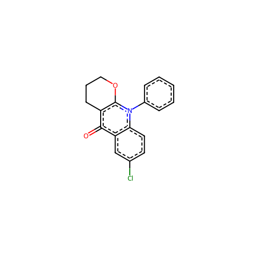 O=c1c2c(n(-c3ccccc3)c3ccc(Cl)cc13)OCCC2